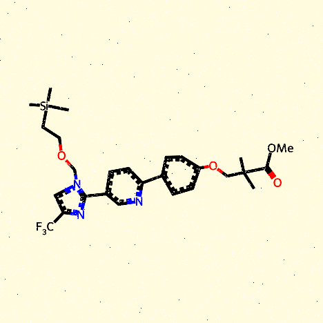 COC(=O)C(C)(C)COc1ccc(-c2ccc(-c3nc(C(F)(F)F)cn3COCC[Si](C)(C)C)cn2)cc1